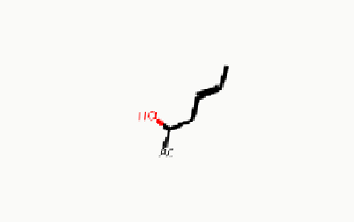 CC=CC[C@H](O)C(C)=O